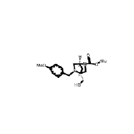 COc1ccc(CN2C[C@@H]3C[C@@]2(CO)CN3C(=O)OC(C)(C)C)cc1